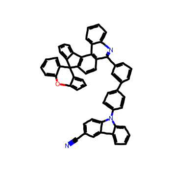 N#Cc1ccc2c(c1)c1ccccc1n2-c1ccc(-c2cccc(-c3nc4ccccc4c4c5c(ccc34)C3(c4ccccc4Oc4ccccc43)c3ccccc3-5)c2)cc1